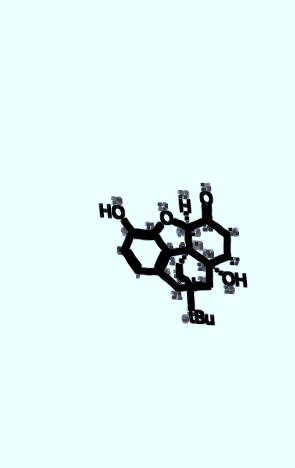 CC(C)(C)N1CC[C@]23c4c5ccc(O)c4O[C@H]2C(=O)CC[C@@]3(O)C1C5